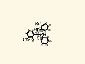 Cc1c(Cl)cccc1C(Cl)(Pc1ccccc1)Pc1ccccc1.[Pd]